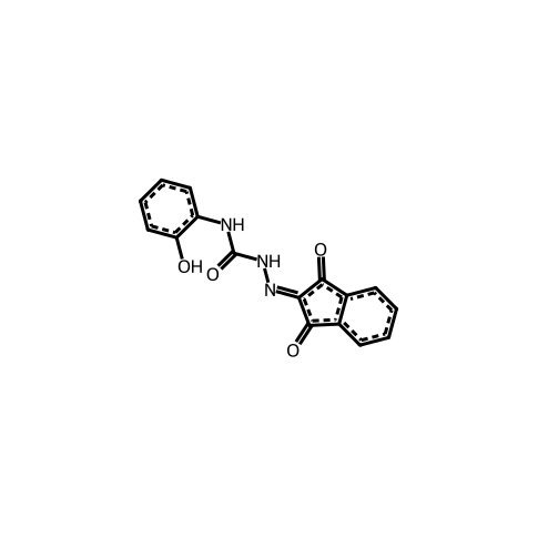 O=C(NN=c1c(=O)c2ccccc2c1=O)Nc1ccccc1O